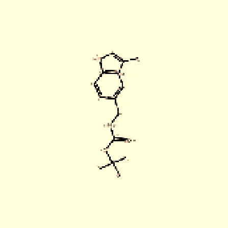 Cc1c[nH]c2ccc(CNC(=O)OC(C)(C)C)cc12